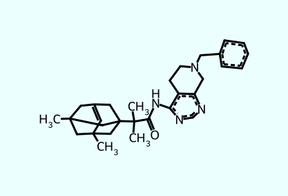 CC12C=C3CC(C)(C1)CC(C(C)(C)C(=O)Nc1ncnc4c1CCN(Cc1ccccc1)C4)(C3)C2